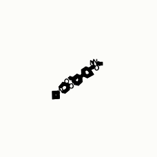 Cc1nnc(C2CC=C(c3ccc4c(c3)COC3(CCN(C5CCC5)CC3)O4)CC2)o1